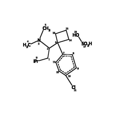 CC(C)CC(N(C)C)C1(c2ccc(Cl)cc2)CCC1.O=S(=O)(O)O